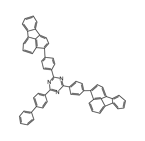 c1ccc(-c2ccc(-c3nc(-c4ccc(-c5ccc6c7c(cccc57)-c5ccccc5-6)cc4)nc(-c4ccc(-c5ccc6c7c(cccc57)-c5ccccc5-6)cc4)n3)cc2)cc1